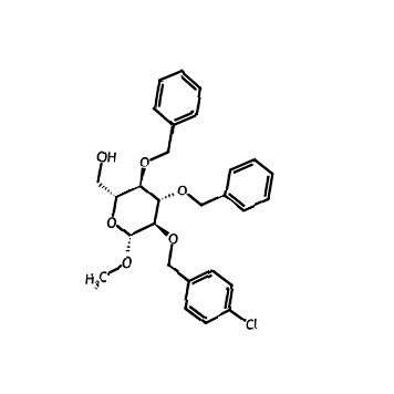 CO[C@@H]1O[C@H](CO)[C@@H](OCc2ccccc2)[C@H](OCc2ccccc2)[C@H]1OCc1ccc(Cl)cc1